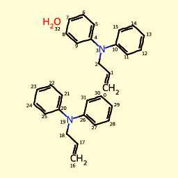 C=CCN(c1ccccc1)c1ccccc1.C=CCN(c1ccccc1)c1ccccc1.O